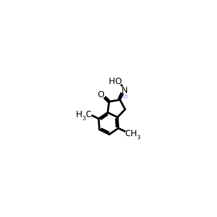 Cc1ccc(C)c2c1C/C(=N/O)C2=O